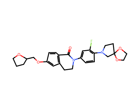 O=C1c2ccc(OCC3CCCO3)cc2CCN1c1ccc(N2CCC3(C2)OCCO3)c(F)c1